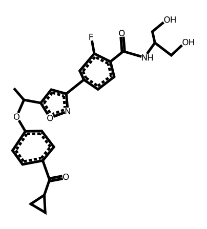 CC(Oc1ccc(C(=O)C2CC2)cc1)c1cc(-c2ccc(C(=O)NC(CO)CO)c(F)c2)no1